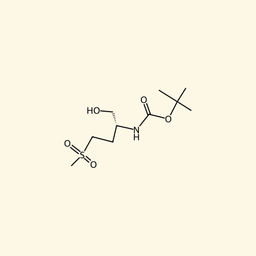 CC(C)(C)OC(=O)N[C@@H](CO)CCS(C)(=O)=O